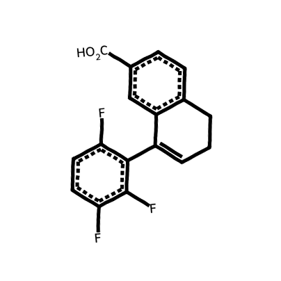 O=C(O)c1ccc2c(c1)C(c1c(F)ccc(F)c1F)=CCC2